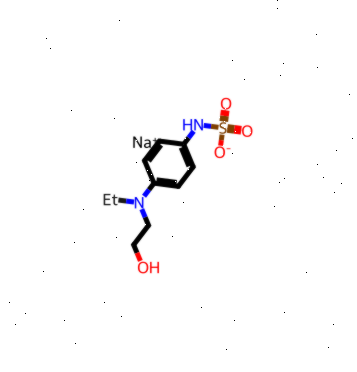 CCN(CCO)c1ccc(NS(=O)(=O)[O-])cc1.[Na+]